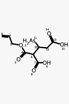 C=CCOC(=O)C(C(=O)O)C([AsH2])CC(=O)O